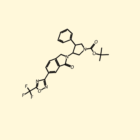 CC(C)(C)OC(=O)N1CC(c2ccccc2)C(N2Cc3ccc(-c4noc(C(F)(F)F)n4)cc3C2=O)C1